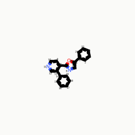 c1ccc(-c2cnc(-c3ccncc3-c3ccccc3)o2)cc1